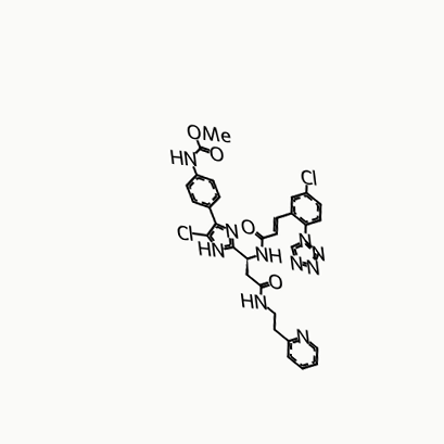 COC(=O)Nc1ccc(-c2nc([C@H](CC(=O)NCCc3ccccn3)NC(=O)C=Cc3cc(Cl)ccc3-n3cnnn3)[nH]c2Cl)cc1